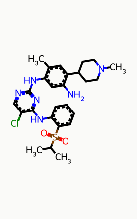 Cc1cc(C2CCN(C)CC2)c(N)cc1Nc1ncc(Cl)c(Nc2ccccc2S(=O)(=O)C(C)C)n1